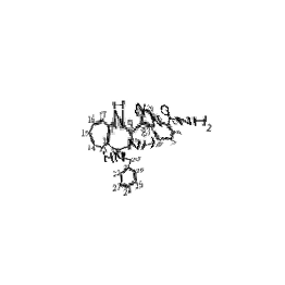 NC(=O)c1cccc2c(C3NC4=C(CC=CC=C4)C(NCc4ccccc4)N3)ncn12